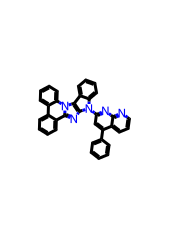 c1ccc(-c2cc(-n3c4ccccc4c4c3nc3c5ccccc5c5ccccc5n34)nc3ncccc23)cc1